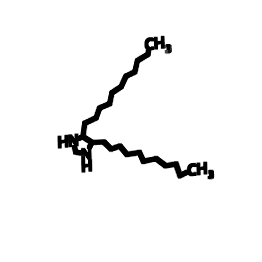 CCCCCCCCCCCC1NCNC1CCCCCCCCCCC